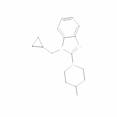 OC1CCN(c2nc3ccccc3n2CC2CC2)CC1